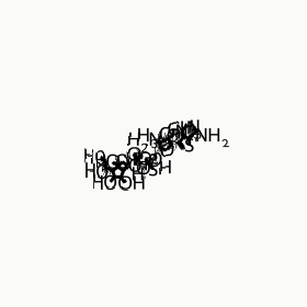 CO[C@]1(C)[C@H](N)[C@@H](COP(=O)(S)O[PH](=O)OC2OC3(O)C2C(O)C(O)C3[C@@H](O)CO)O[C@H]1c1csc2c(N)ncnc12